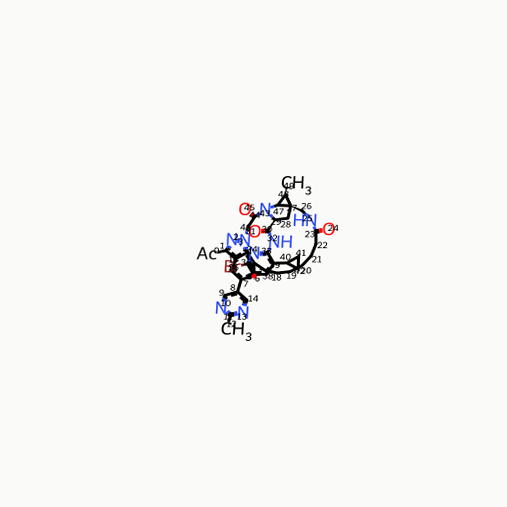 CC(=O)c1nn2c3c(cc(-c4cnc(C)nc4)cc13)CCCCCCC(=O)NC[C@@]13C[C@@H](C(=O)Nc4nc(Br)ccc4C4CC4)N(C(=O)C2)C1[C@@H]3C